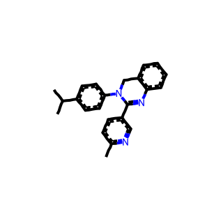 Cc1ccc(C2=Nc3ccccc3CN2c2ccc(C(C)C)cc2)cn1